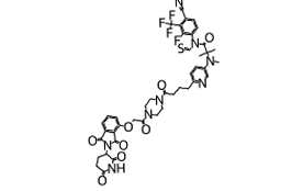 CN(c1ccc(CCCC(=O)N2CCN(C(=O)COc3cccc4c3C(=O)N(C3CCC(=O)NC3=O)C4=O)CC2)nc1)C(C)(C)C(=O)N(C=S)c1ccc(C#N)c(C(F)(F)F)c1F